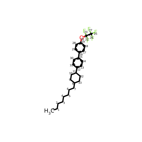 CCCCCCCCC1CCC(c2ccc(-c3ccc(OC(F)(F)C(F)(F)F)cc3)cc2)CC1